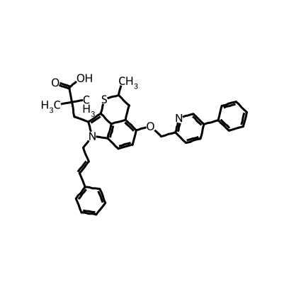 CC1Cc2c(OCc3ccc(-c4ccccc4)cn3)ccc3c2c(c(CC(C)(C)C(=O)O)n3CC=Cc2ccccc2)S1